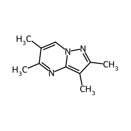 Cc1cn2nc(C)c(C)c2nc1C